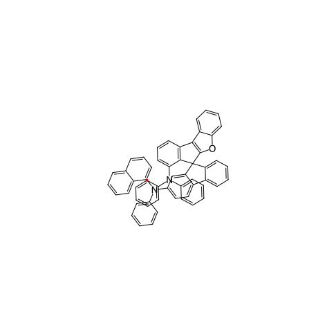 c1ccc(N(c2ccccc2)c2cccc3c2C2(c4ccccc4-c4ccc(N(c5ccccc5)c5cccc6ccccc56)cc42)c2oc4ccccc4c2-3)cc1